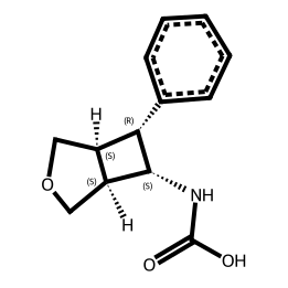 O=C(O)N[C@@H]1[C@H]2COC[C@H]2[C@@H]1c1ccccc1